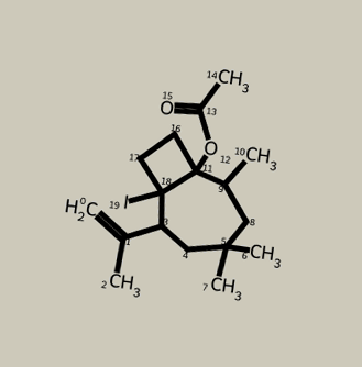 C=C(C)C1CC(C)(C)CC(C)C2(OC(C)=O)CCC12I